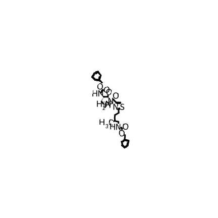 CC(C)C[C@H](NC(=O)OCc1ccccc1)C(=O)N(N)C(=O)c1csc(CCC(C)CNC(=O)OCc2ccccc2)n1